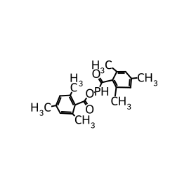 Cc1cc(C)c(C(=O)OPC(=O)c2c(C)cc(C)cc2C)c(C)c1